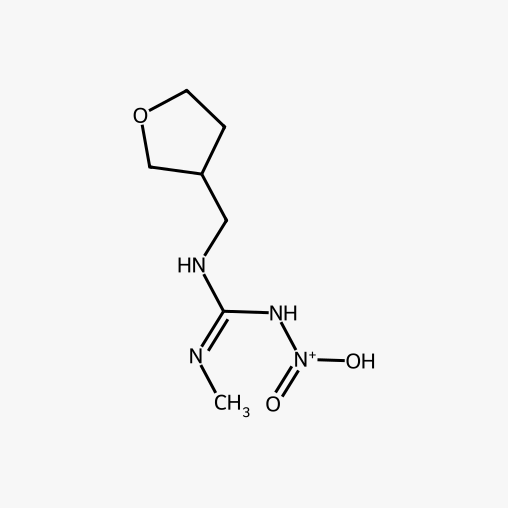 CN=C(NCC1CCOC1)N[N+](=O)O